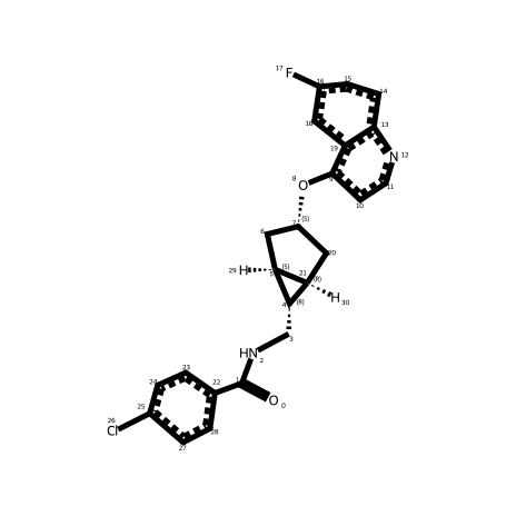 O=C(NC[C@@H]1[C@H]2C[C@H](Oc3ccnc4ccc(F)cc34)C[C@@H]12)c1ccc(Cl)cc1